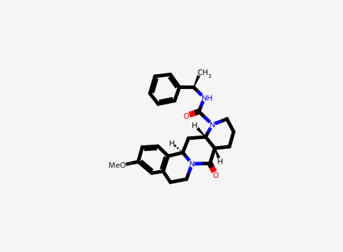 COc1ccc2c(c1)CCN1C(=O)[C@H]3CCCN(C(=O)N[C@H](C)c4ccccc4)[C@H]3C[C@H]21